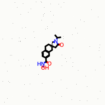 CC(C)N1C[C@]2(CCc3ccc(C(=O)NO)cc3C2)CC1=O